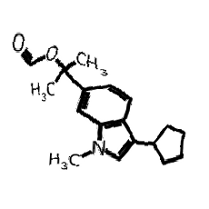 Cn1cc(C2CCCC2)c2ccc(C(C)(C)OC=O)cc21